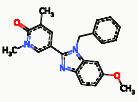 COc1ccc2nc(-c3cc(C)c(=O)n(C)c3)n(Cc3ccccc3)c2c1